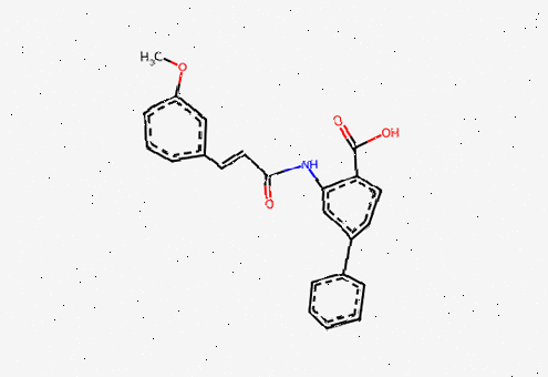 COc1cccc(/C=C/C(=O)Nc2cc(-c3ccccc3)ccc2C(=O)O)c1